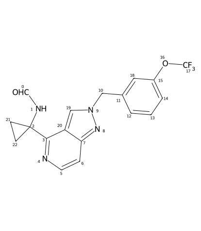 O=CNC1(c2nccc3nn(Cc4cccc(OC(F)(F)F)c4)cc23)CC1